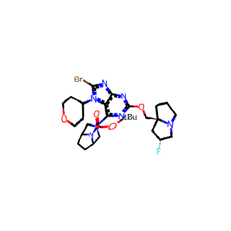 CC(C)(C)OC(=O)N1C2CCC1CN(c1nc(OC[C@@]34CCCN3C[C@H](F)C4)nc3nc(Br)n(C4CCOCC4)c13)C2